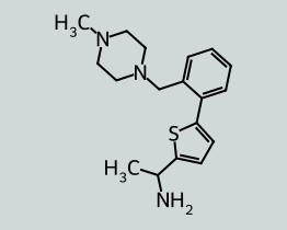 CC(N)c1ccc(-c2ccccc2CN2CCN(C)CC2)s1